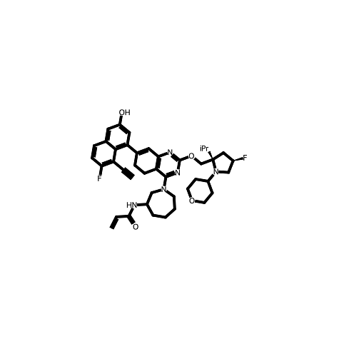 C#Cc1c(F)ccc2cc(O)cc(C3=Cc4nc(OC[C@]5(C(C)C)C[C@@H](F)CN5C5CCOCC5)nc(N5CCCCC(NC(=O)C=C)C5)c4CC3)c12